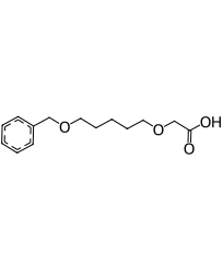 O=C(O)COCCCCCOCc1ccccc1